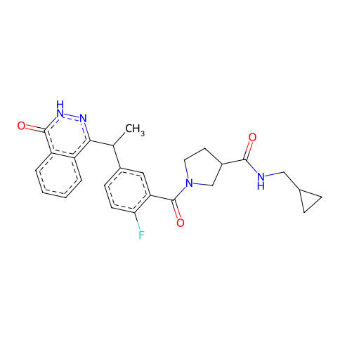 CC(c1ccc(F)c(C(=O)N2CCC(C(=O)NCC3CC3)C2)c1)c1n[nH]c(=O)c2ccccc12